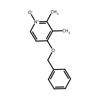 Cc1c(OCc2ccccc2)cc[n+]([O-])c1C